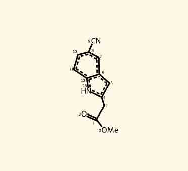 COC(=O)Cc1cc2cc(C#N)ccc2[nH]1